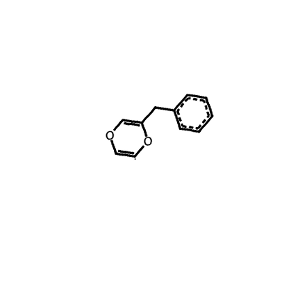 [C]1=COC=C(Cc2ccccc2)O1